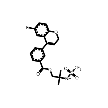 CC(C)(COC(=O)c1cccc(C2=CCOc3ccc(F)cc32)c1)NS(=O)(=O)C(F)(F)F